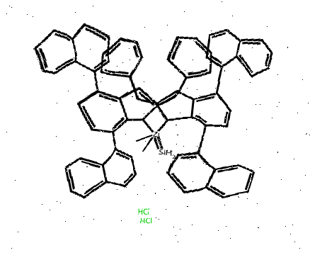 Cl.Cl.[CH3][Zr]([CH3])(=[SiH2])([CH]1C(Cc2ccccc2)=Cc2c(-c3cccc4ccccc34)ccc(-c3cccc4ccccc34)c21)[CH]1C(Cc2ccccc2)=Cc2c(-c3cccc4ccccc34)ccc(-c3cccc4ccccc34)c21